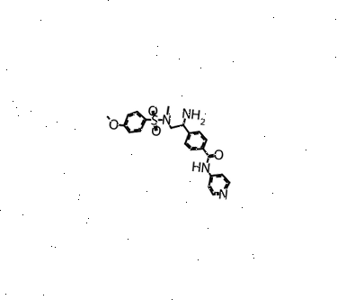 COc1ccc(S(=O)(=O)N(C)CC(N)c2ccc(C(=O)Nc3ccncc3)cc2)cc1